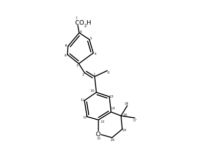 CC(=Cc1ccc(C(=O)O)cc1)c1ccc2c(c1)C(C)(C)CCO2